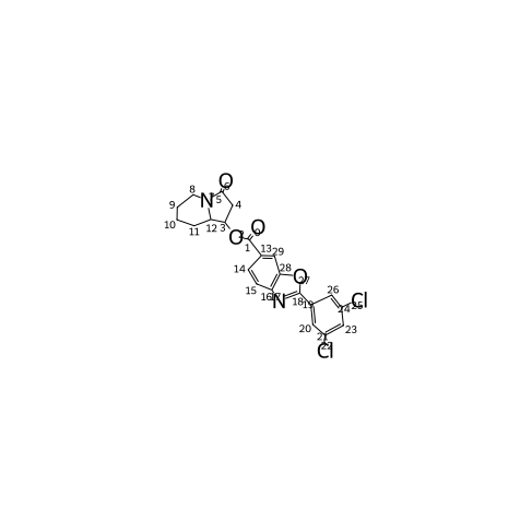 O=C(OC1CC(=O)N2CCCCC12)c1ccc2nc(-c3cc(Cl)cc(Cl)c3)oc2c1